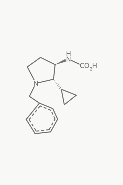 O=C(O)N[C@@H]1CCN(Cc2ccccc2)[C@H]1C1CC1